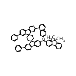 CC1(C)c2ccccc2-c2ccc(N(c3ccccc3)c3ccc4c(c3)C3(CCC5(CC3)c3cc(-c6ccccc6)ccc3-c3ccc(-c6ccccc6)cc35)c3cc(-c5ccccc5)ccc3-4)cc21